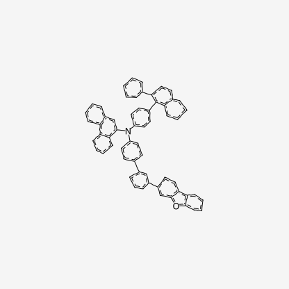 c1ccc(-c2ccc3ccccc3c2-c2ccc(N(c3ccc(-c4cccc(-c5ccc6c(c5)oc5ccccc56)c4)cc3)c3cc4ccccc4c4ccccc34)cc2)cc1